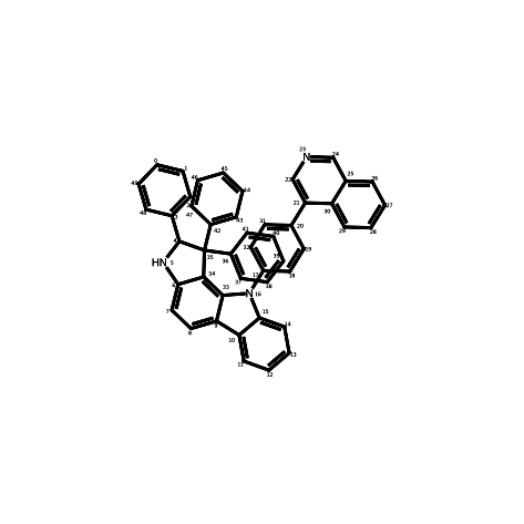 c1ccc(C2Nc3ccc4c5ccccc5n(-c5ccc(-c6cncc7ccccc67)cc5)c4c3C2(c2ccccc2)c2ccccc2)cc1